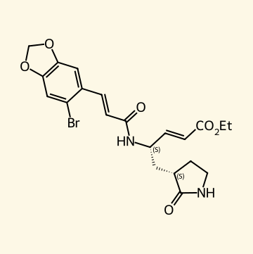 CCOC(=O)C=C[C@H](C[C@@H]1CCNC1=O)NC(=O)C=Cc1cc2c(cc1Br)OCO2